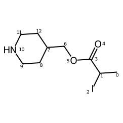 CC(I)C(=O)OCC1CCNCC1